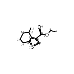 CCOC(=O)c1[c]sc2c1C(C)CCC2